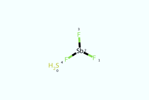 S.[F][Sb]([F])[F]